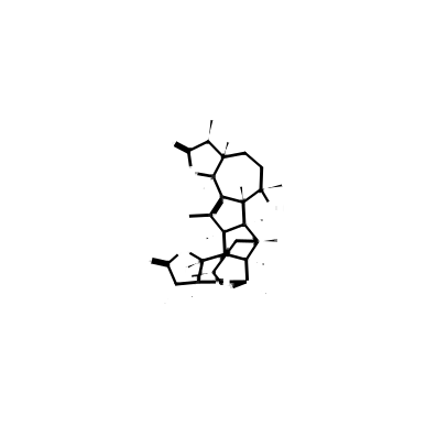 CC1=C2[C@H]3OC(=O)[C@@H](C)[C@@H]3CC[C@](C)(O)[C@@H]2[C@H]2[C@H]3C[C@]4(C)O[C@@]5(C)CC[C@H]6[C@H](C)C(=O)O[C@@H]6[C@@]4([C@@H]35)[C@@H]12